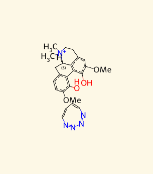 C1=CN=NN=NC=C1.COc1ccc2c(c1O)-c1c(O)c(OC)cc3c1[C@H](C2)[N+](C)(C)CC3